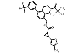 Cc1noc([C@H]2C[C@@H]2C(=O)NCc2ccc(-c3cccc(C(F)(F)F)c3)c3c2CN(C(=O)C(C)(C)O)CC3)n1